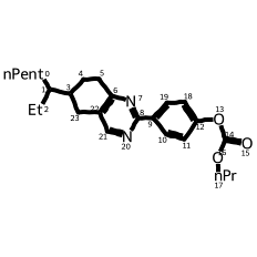 CCCCCC(CC)C1CCc2nc(-c3ccc(OC(=O)OCCC)cc3)ncc2C1